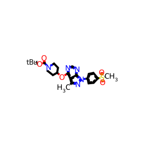 Cc1nn(-c2ccc(S(C)(=O)=O)cc2)c2ncnc(OC3CCN(C(=O)OC(C)(C)C)CC3)c12